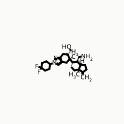 C=C1CC[C@H]2[C@H](CN)[C@@H]([C@@]3(C)Cc4cn(C5CCC(F)(F)CC5)nc4C[C@@H]3CO)CC[C@]12C